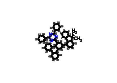 CC1(C)c2ccccc2-c2c(-c3cc(-c4nc(-c5ccccc5)nc(-c5ccccc5)n4)c4c5ccccc5c5ccccc5c4c3)cccc21